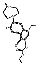 CCOC(=O)Oc1cn(CC)c2cc(N3CCN(C)CC3)c(F)cc2c1=O